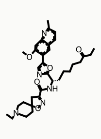 CCC(=O)CCCCC[C@H](NC(=O)C1=NOC2(CCN(CC)CC2)C1)c1ncc(-c2cc3ccc(C)nc3cc2OC)o1